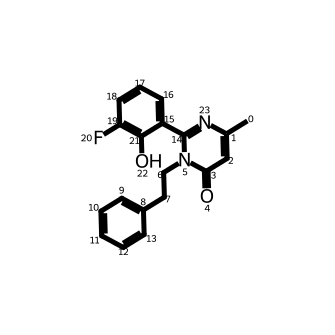 Cc1cc(=O)n(CCc2ccccc2)c(-c2cccc(F)c2O)n1